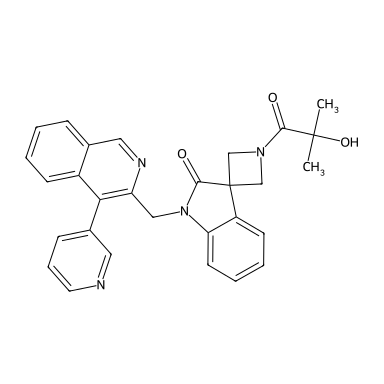 CC(C)(O)C(=O)N1CC2(C1)C(=O)N(Cc1ncc3ccccc3c1-c1cccnc1)c1ccccc12